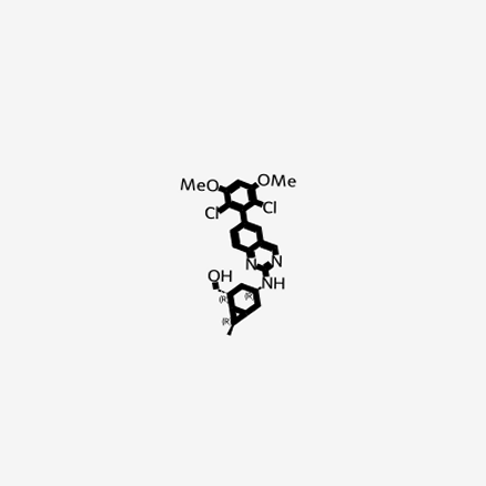 COc1cc(OC)c(Cl)c(-c2ccc3nc(N[C@@H]4CC5C([C@H](CO)C4)[C@@H]5C)ncc3c2)c1Cl